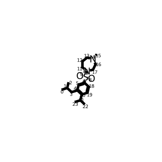 CC(C)Cc1cc(S(=O)(=O)N2CCCN(C)CC2)ccc1C(C)C